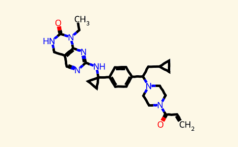 C=CC(=O)N1CCN(C(CC2CC2)c2ccc(C3(Nc4ncc5c(n4)N(CC)C(=O)NC5)CC3)cc2)CC1